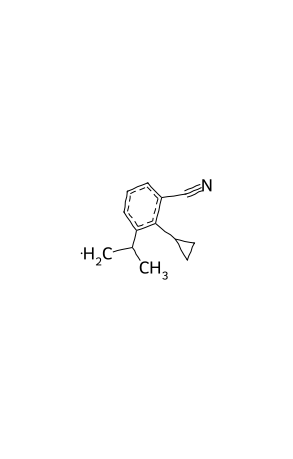 [CH2]C(C)c1cccc(C#N)c1C1CC1